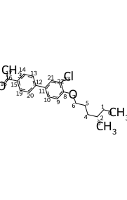 CC[C@H](C)CCCOc1ccc(-c2ccc(C(C)=O)cc2)cc1Cl